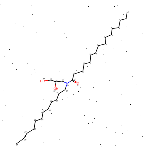 CCCCCCCCCCCCCCCC(=O)N(CCCCCCCCCCCC)CC(O)CO